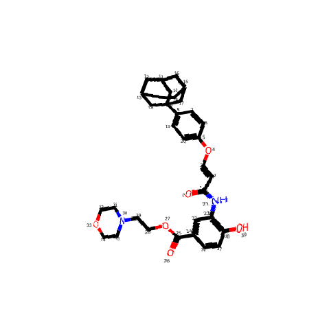 O=C(C=COc1ccc(C23CC4CC(CC(C4)C2)C3)cc1)Nc1cc(C(=O)OCCN2CCOCC2)ccc1O